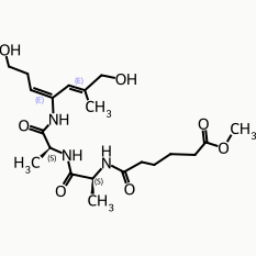 COC(=O)CCCCC(=O)N[C@@H](C)C(=O)N[C@@H](C)C(=O)NC(/C=C(\C)CO)=C/CCO